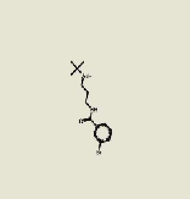 CC(C)(C)[AsH]CCCNC(=O)c1cccc(Br)c1